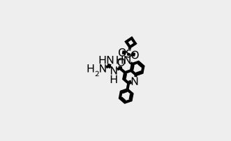 N=C(N)NC(=O)c1cc(-c2ccccc2)nc2cccc(NS(=O)(=O)C3CCC3)c12